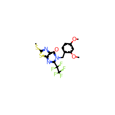 COc1ccc(Cn2c(C(F)(F)C(F)(F)F)nc3sc(SC)nc3c2=O)c(OC)c1